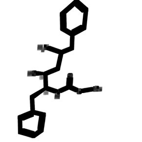 CC(C)(C)OC(=O)N[C@@H](Cc1ccccc1)[C@@H](O)CC(N)Cc1ccccc1